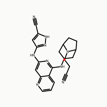 N#CCCN1C2CCC1CC(Nc1nc(Nc3cc(C#N)[nH]n3)cc3ncccc13)C2